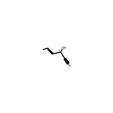 C/C=C/[C@@H](O)C#N